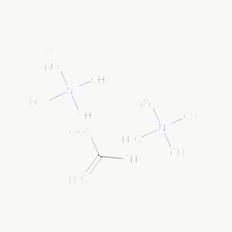 C=C(C)C(=O)[O-].CCC[N+](C)(C)C.CCC[N+](C)(C)C.[Cl-]